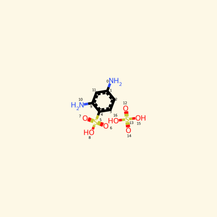 Nc1ccc(S(=O)(=O)O)c(N)c1.O=S(=O)(O)O